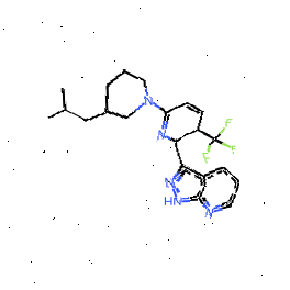 CC(C)CC1CCCN(C2=NC(c3n[nH]c4ncccc34)C(C(F)(F)F)C=C2)C1